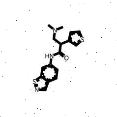 CN(C)CC(C(=O)Nc1ccc2cnsc2c1)c1ccsc1